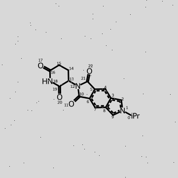 CC(C)n1cc2cc3c(cc2c1)C(=O)N(C1CCC(=O)NC1=O)C3=O